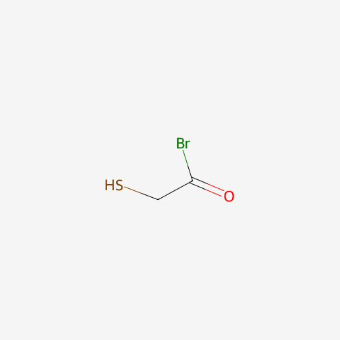 O=C(Br)CS